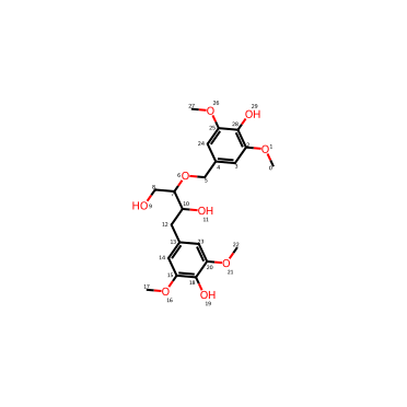 COc1cc(COC(CO)C(O)Cc2cc(OC)c(O)c(OC)c2)cc(OC)c1O